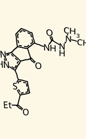 CCC(=O)c1ccc(-c2[nH]nc3c2C(=O)c2c(NC(=O)NN(C)C)cccc2-3)s1